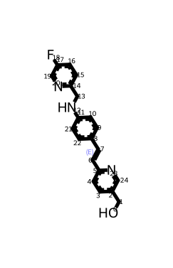 OCc1ccc(/C=C/c2ccc(NCc3ccc(F)cn3)cc2)nc1